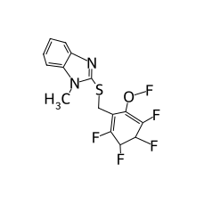 Cn1c(SCC2=C(F)C(F)C(F)C(F)=C2OF)nc2ccccc21